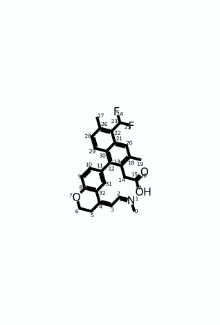 C/N=C\C=C1\CCOc2ccc(-c3c(CC(=O)O)c(C)cc4c(C(F)F)c(C)ccc34)cc21